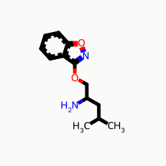 CC(C)CC(N)COc1noc2ccccc12